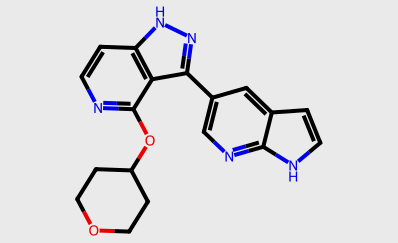 c1cc2[nH]nc(-c3cnc4[nH]ccc4c3)c2c(OC2CCOCC2)n1